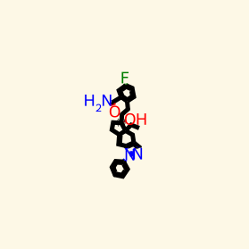 CCC12Cc3cnn(-c4ccccc4)c3C=C1CC[C@@]2(O)CCc1ccc(F)cc1C(N)=O